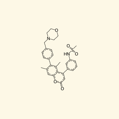 Cc1cc2oc(=O)cc(-c3cccc(NS(C)(=O)=O)c3)c2c(C)c1-c1ccc(CN2CCOCC2)cc1